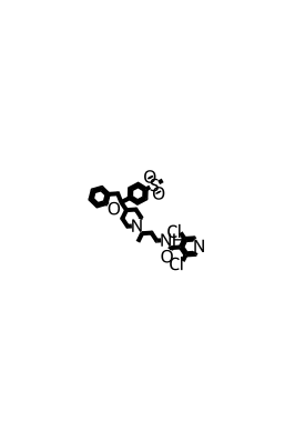 CC(CCNC(=O)c1c(Cl)cncc1Cl)N1CCC(C2(c3ccc(S(C)(=O)=O)cc3)Cc3ccccc3O2)CC1